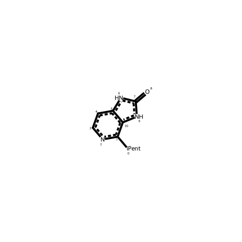 CCCC(C)c1nccc2[nH]c(=O)[nH]c12